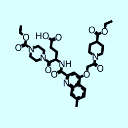 CCOC(=O)C1CCN(C(=O)COc2cc(C(=O)NC(CCC(=O)O)C(=O)N3CCN(C(=O)OCC)CC3)nc3cc(C)ccc23)CC1